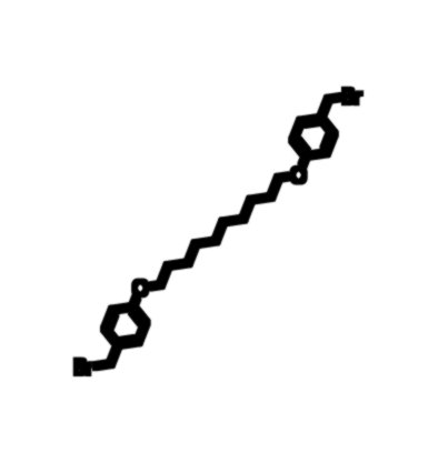 BrCc1ccc(OCCCCCCCCCCOc2ccc(CBr)cc2)cc1